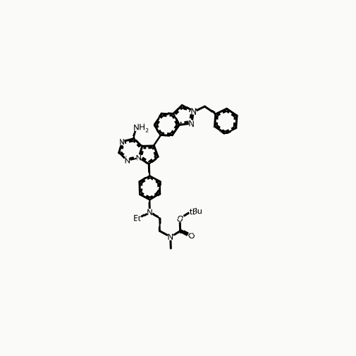 CCN(CCN(C)C(=O)OC(C)(C)C)c1ccc(-c2cc(-c3ccc4cn(Cc5ccccc5)nc4c3)c3c(N)ncnn23)cc1